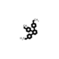 C=Cc1ccc(-c2cccc(-c3ccc(C=C)cc3)c2-c2ccc(C=C)cc2)cc1